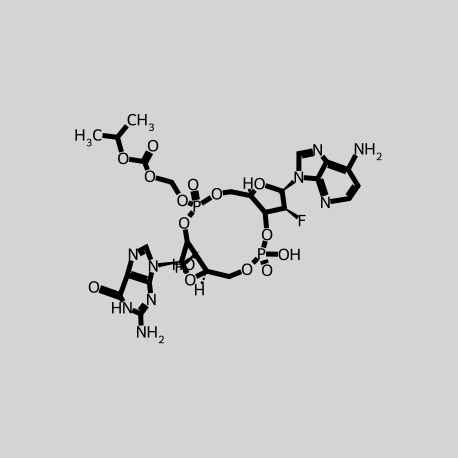 CC(C)OC(=O)OCOP1(=O)OC[C@H]2O[C@@H](n3cnc4c(N)ccnc43)[C@@H](F)C2OP(=O)(O)OC[C@H]2O[C@@H](n3cnc4c(=O)[nH]c(N)nc43)C(O1)[C@H]2O